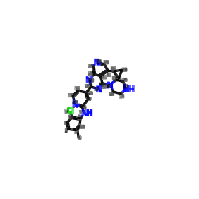 Cc1ccc(Cl)c(Nc2cc(-c3nc(N4CCNCC4)c4c(C5CC5)cncc4n3)ccn2)c1